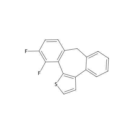 Fc1ccc2c(c1F)-c1sccc1-c1ccccc1C2